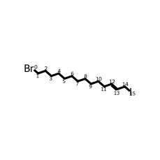 BrCCCCCCCCCCCC=CCI